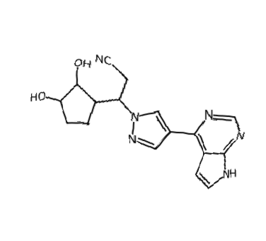 N#CCC(C1CCC(O)C1O)n1cc(-c2ncnc3[nH]ccc23)cn1